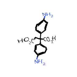 Nc1ccc(C(CC(=O)O)(C(=O)O)c2ccc(N)cc2)cc1